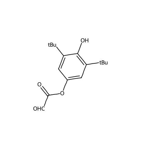 CC(C)(C)c1cc(OC(=O)C=O)cc(C(C)(C)C)c1O